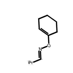 CC(C)/[C]=N/OC1=CCCCC1